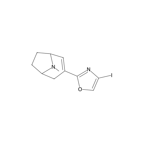 CN1C2C=C(c3nc(I)co3)CC1CC2